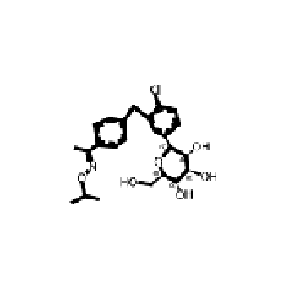 CC(=NOC(C)C)c1ccc(Cc2cc([C@@H]3O[C@H](CO)[C@@H](O)[C@H](O)[C@H]3O)ccc2Cl)cc1